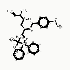 C=C[C@@H](C)[C@H](O)C[C@H](CO[Si](c1ccccc1)(c1ccccc1)C(C)(C)C)OCc1ccc(OC)cc1